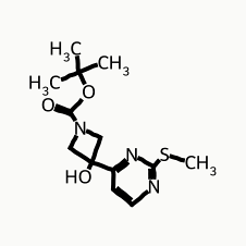 CSc1nccc(C2(O)CN(C(=O)OC(C)(C)C)C2)n1